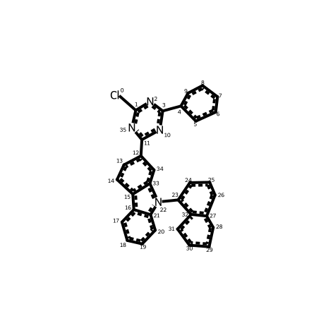 Clc1nc(-c2ccccc2)nc(-c2ccc3c4ccccc4n(-c4cccc5ccccc45)c3c2)n1